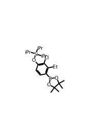 CCc1c(B2OC(C)(C)C(C)(C)O2)ccc(O[Si](C(C)C)(C(C)C)C(C)C)c1Cl